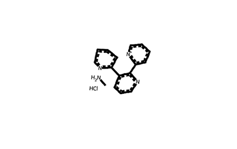 CN.Cl.c1ccc(-c2cccnc2-c2ccccn2)nc1